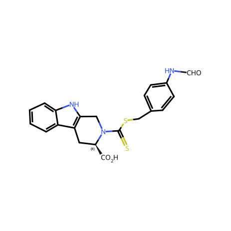 O=CNc1ccc(CSC(=S)N2Cc3[nH]c4ccccc4c3C[C@@H]2C(=O)O)cc1